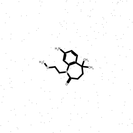 COCCN1C(=O)CCC(C)(C)c2ccc(N)cc21